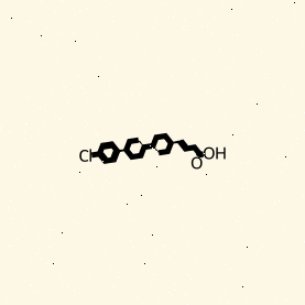 O=C(O)CC=C[C@H]1CC[C@H]([C@H]2CC[C@H](c3ccc(Cl)cc3)CC2)CC1